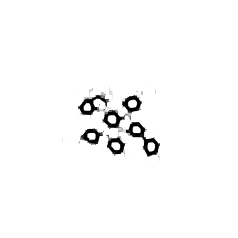 CC(C)(C)c1ccc(-c2ccc3c(c2)B2c4cc(C(C)(C)C)ccc4N(c4ccc(C(C)(C)C)cc4)c4cc(N5c6ccccc6C(C)(C)C5(C)C)cc(c42)N3c2ccc(C(C)(C)C)cc2)cc1